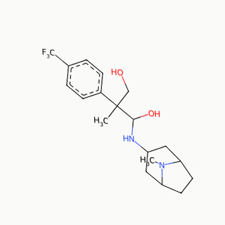 CN1C2CCC1CC(NC(O)C(C)(CO)c1ccc(C(F)(F)F)cc1)C2